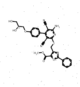 COC(=O)c1oc(-c2ccccc2)nc1CSc1nc(N)c(C#N)c(-c2ccc(OC[C@@H](O)CO)cc2)c1C#N